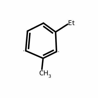 CCc1[c]c(C)[c]cc1